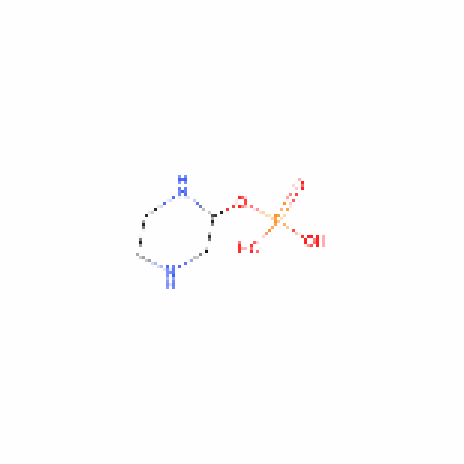 O=P(O)(O)OC1CNCCN1